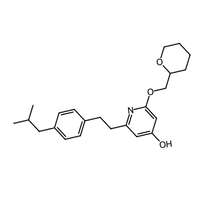 CC(C)Cc1ccc(CCc2cc(O)cc(OCC3CCCCO3)n2)cc1